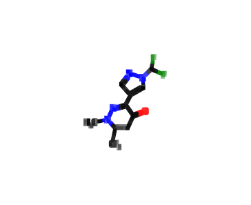 Cn1nc(-c2cnn(C(F)F)c2)c(=O)cc1C(F)(F)F